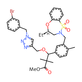 CC[C@@H]1CN(Cc2cc(C(OCc3cn(Cc4cccc(Br)c4)nn3)C(C)(C)C(=O)OC)ccc2C)S(=O)(=O)c2ccccc2O1